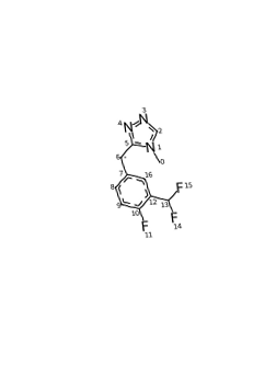 Cn1cnnc1[CH]c1ccc(F)c(C(F)F)c1